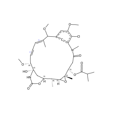 COc1cc2cc(c1Cl)N(C)C(=O)C[C@H](OC(=O)C(C)C)[C@]1(C)O[C@H]1[C@H](C)[C@@H]1C[C@@](O)(NC(=O)O1)[C@H](OC)/C=C/C=C(\C)C2OC